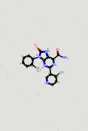 NC(=O)c1nc(-c2cnccc2Cl)nc2c1[nH]c(=O)n2-c1ccccc1C(F)(F)F